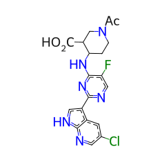 CC(=O)N1CCC(Nc2nc(-c3c[nH]c4ncc(Cl)cc34)ncc2F)C(C(=O)O)C1